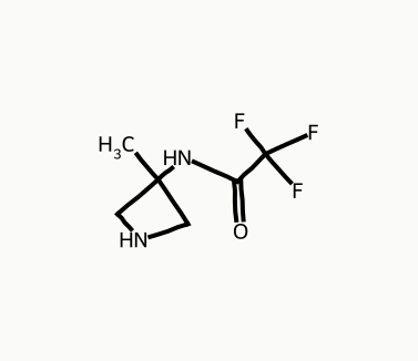 CC1(NC(=O)C(F)(F)F)CNC1